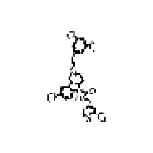 O=C(NCc1ccnc(Cl)c1)n1c2c(c3cc(Cl)ccc31)CN(CC=Cc1cc(Cl)cc(Cl)c1)CC2